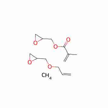 C.C=C(C)C(=O)OCC1CO1.C=CCOCC1CO1